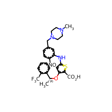 C[C@@H](Oc1cc(Nc2cc(CN3CCN(C)CC3)ccc2[N+](=O)[O-])sc1C(=O)O)c1ccccc1C(F)(F)F